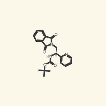 CC(C)(C)OC(=O)N[C@@H](CN1C(=O)c2ccccc2C1=O)c1ccccn1